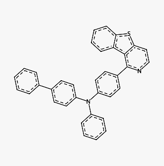 c1ccc(-c2ccc(N(c3ccccc3)c3ccc(-c4nccc5sc6ccccc6c45)cc3)cc2)cc1